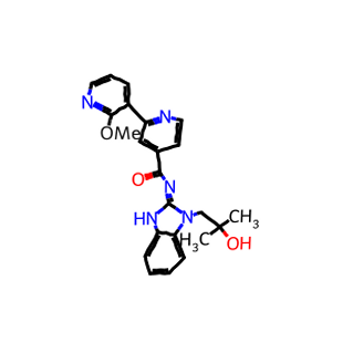 COc1ncccc1-c1cc(C(=O)/N=c2\[nH]c3ccccc3n2CC(C)(C)O)ccn1